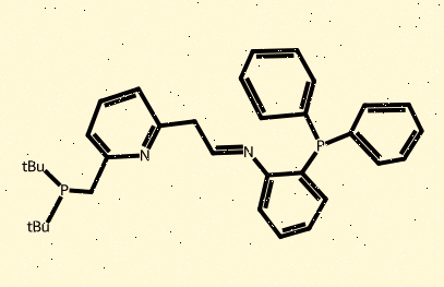 CC(C)(C)P(Cc1cccc(CC=Nc2ccccc2P(c2ccccc2)c2ccccc2)n1)C(C)(C)C